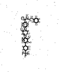 Cc1c(-c2ccc(C(F)(F)F)cc2)nnc(N2CCN(c3cnc(C(=O)N(C)CCc4ccccc4)cn3)[C@H](C)C2)c1C